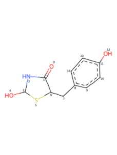 O=C1NC(O)SC1Cc1ccc(O)cc1